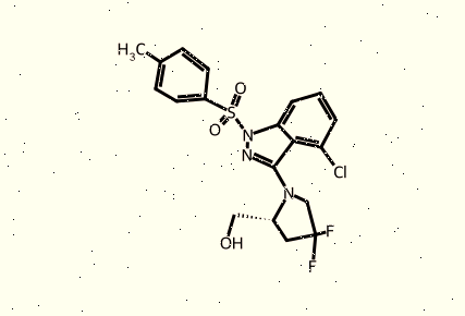 Cc1ccc(S(=O)(=O)n2nc(N3CC(F)(F)C[C@@H]3CO)c3c(Cl)cccc32)cc1